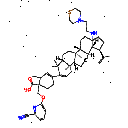 C=C(C)[C@@H]1CC[C@]2(NCCN3CCSCC3)CC[C@]3(C)[C@H](CC[C@@H]4[C@@]5(C)CC=C(C6=CC(C)C(COc7cccc(C#N)n7)(C(=O)O)CC6)C(C)(C)[C@@H]5CC[C@]43C)[C@@H]12